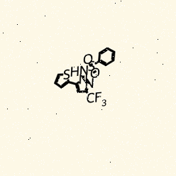 O=S(=O)(Nn1nc(C(F)(F)F)cc1-c1cccs1)c1ccccc1